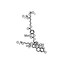 COc1cc(C(=O)OCCCCC(CO[N+](=O)[O-])O[N+](=O)[O-])ccc1OC(=O)OCC(=O)[C@@]1(OC(=O)CCCO[N+](=O)[O-])[C@H](C)CC2C3CCC4=CC(=O)C=C[C@]4(C)[C@@]3(F)[C@@H](O)C[C@@]21C